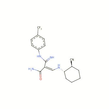 N#C[C@H]1CCCC[C@@H]1N/C=C(\C(=N)Nc1ccc(C(F)(F)F)cc1)C(N)=O